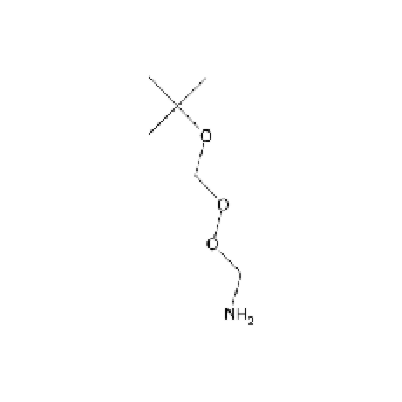 CC(C)(C)OCOOCN